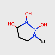 CCN1CCC(O)N(O)N1O